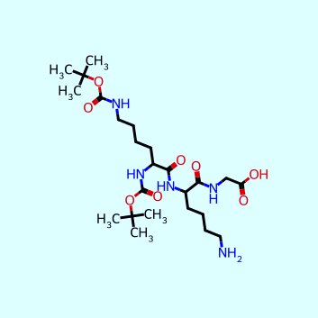 CC(C)(C)OC(=O)NCCCCC(NC(=O)OC(C)(C)C)C(=O)NC(CCCCN)C(=O)NCC(=O)O